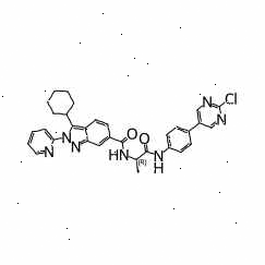 C[C@@H](NC(=O)c1ccc2c(C3CCCCC3)n(-c3ccccn3)nc2c1)C(=O)Nc1ccc(-c2cnc(Cl)nc2)cc1